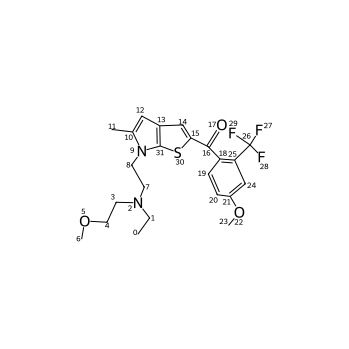 CCN(CCOC)CCn1c(C)cc2cc(C(=O)c3ccc(OC)cc3C(F)(F)F)sc21